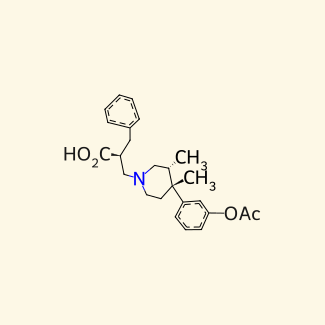 CC(=O)Oc1cccc([C@]2(C)CCN(C[C@H](Cc3ccccc3)C(=O)O)C[C@@H]2C)c1